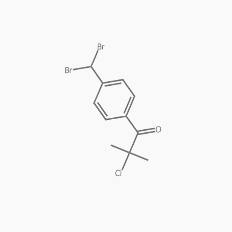 CC(C)(Cl)C(=O)c1ccc(C(Br)Br)cc1